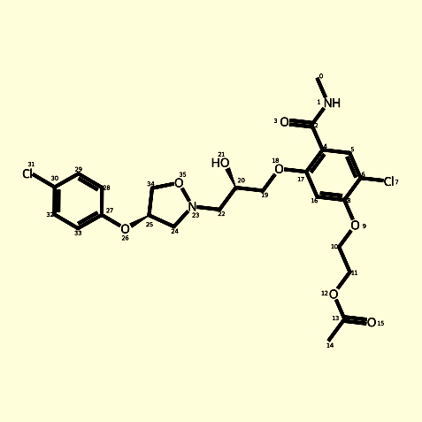 CNC(=O)c1cc(Cl)c(OCCOC(C)=O)cc1OC[C@H](O)CN1C[C@@H](Oc2ccc(Cl)cc2)CO1